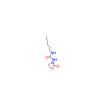 CCCCCCNC(=O)NN1CCOC1=O